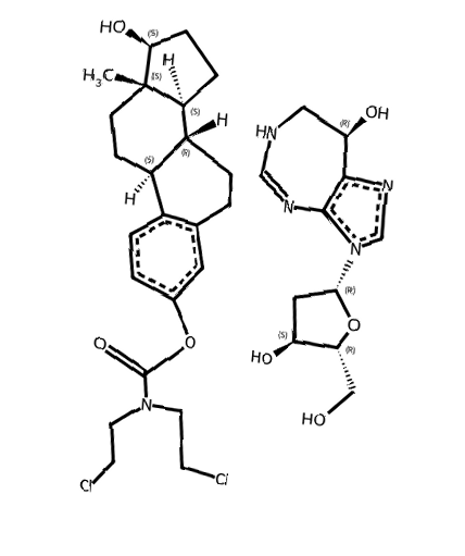 C[C@]12CC[C@@H]3c4ccc(OC(=O)N(CCCl)CCCl)cc4CC[C@H]3[C@@H]1CC[C@@H]2O.OC[C@H]1O[C@@H](n2cnc3c2N=CNC[C@H]3O)C[C@@H]1O